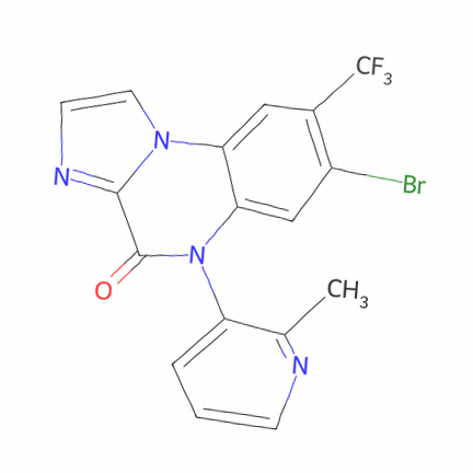 Cc1ncccc1-n1c(=O)c2nccn2c2cc(C(F)(F)F)c(Br)cc21